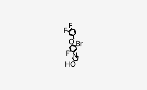 OC1CCN(c2cc(Br)c(OCc3ccc(F)c(F)c3)cc2F)C1